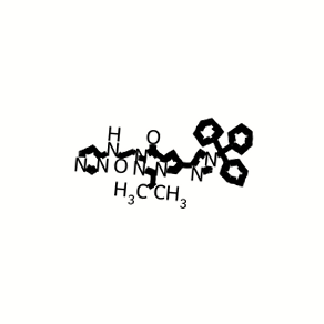 CC(C)c1nn(CC(=O)Nc2ccncn2)c(=O)c2cc(-c3cn(C(c4ccccc4)(c4ccccc4)c4ccccc4)cn3)cn12